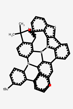 CC(C)(C)c1ccc(N2c3ccc4c(c3B3c5c(cc6ccccc6c52)-c2cccc5c6sc7ccccc7c6n3c25)-c2ccccc2C4(C)C)c(-c2ccccc2)c1